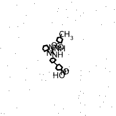 Cc1ccc(S(=O)(=O)Nc2nc3ccccc3nc2Nc2cccc(-c3ccc([N+](=O)O)cc3)c2)cc1